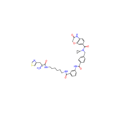 N[C@@H](Cc1cscn1)C(=O)NCCCCCCNC(=O)c1cccc(NC(=O)c2ccc(CN(C(=O)c3ccc4c(c3)OCC(=O)N4)C3CC3)cc2)c1